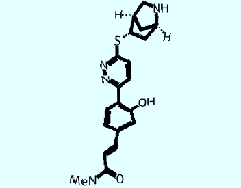 CNC(=O)/C=C/c1ccc(-c2ccc(S[C@H]3C[C@H]4C[C@@H]3CN4)nn2)c(O)c1